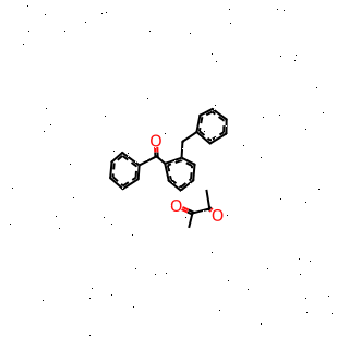 CC(=O)C(C)=O.O=C(c1ccccc1)c1ccccc1Cc1ccccc1